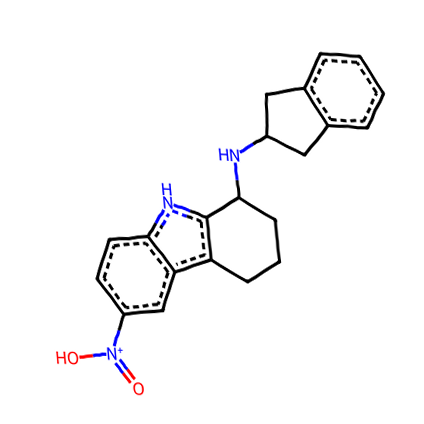 O=[N+](O)c1ccc2[nH]c3c(c2c1)CCCC3NC1Cc2ccccc2C1